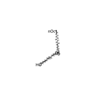 CCCCCCCCC=CCCCCCCCCCCCCCC(=O)OCCCCCCCCCCCCCCO